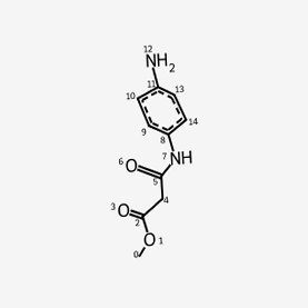 COC(=O)CC(=O)Nc1ccc(N)cc1